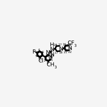 Cc1cc(-c2ccc(F)cc2Cl)c2nc(NC3CCN(c4ccnc(C(F)(F)F)c4)CC3)nn2c1